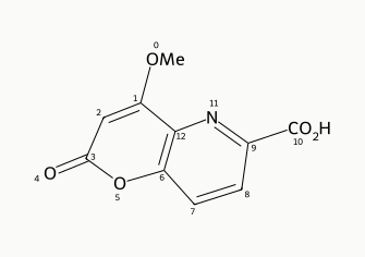 COc1cc(=O)oc2ccc(C(=O)O)nc12